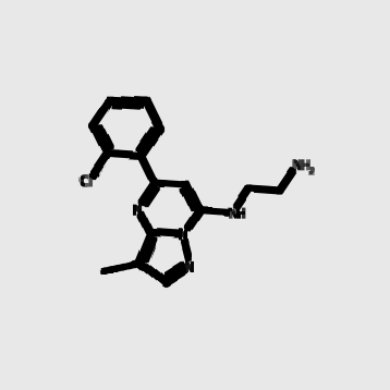 Cc1cnn2c(NCCN)cc(-c3ccccc3Cl)nc12